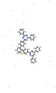 c1ccc(-c2cc(-c3ccccc3)nc(-c3ccc4c(c3)sc3cccc(-c5ccc(-c6nc(-c7ccccc7)nc(-c7ccccc7)n6)cc5)c34)n2)cc1